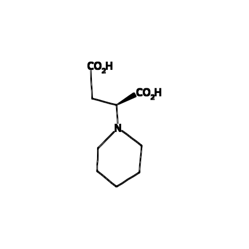 O=C(O)C[C@@H](C(=O)O)N1CCCCC1